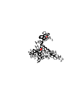 COc1c(C(=O)NCCN(CCNC(=O)c2cccc(C(=O)N3CCSC3=S)c2OC)CC(CCCCNC(=O)OC(C)(C)C)N(CCN)CCNC(=O)c2cccc(C(=O)N3CCSC3=S)c2OC)cccc1C(=O)N1CCSC1=S